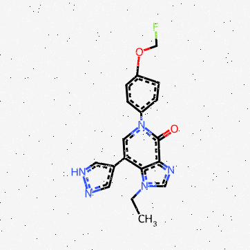 CCn1cnc2c(=O)n(-c3ccc(OCF)cc3)cc(-c3cn[nH]c3)c21